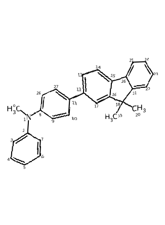 CN(c1ccccc1)c1ccc(-c2ccc3c(c2)C(C)(C)c2ccccc2-3)cc1